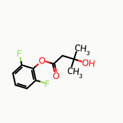 CC(C)(O)CC(=O)Oc1c(F)cccc1F